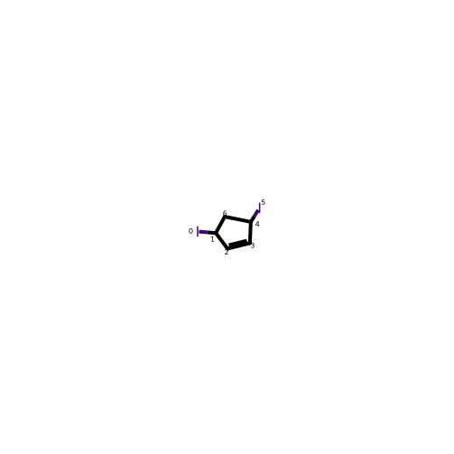 IC1C=CC(I)C1